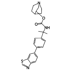 CC(C)(NC(=O)OC1CN2CCC1CC2)c1ccc(-c2ccc3ncsc3c2)cc1